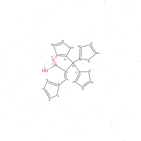 O=C(O)C(=CC1=CC=CC1)C(C1=CC=CC1)(C1=CC=CC1)C1=CC=CC1